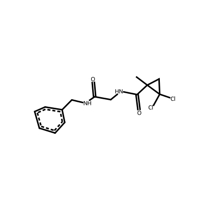 CC1(C(=O)NCC(=O)NCc2ccccc2)CC1(Cl)Cl